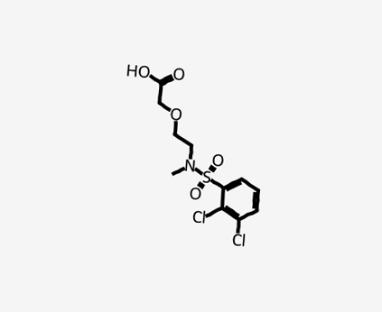 CN(CCOCC(=O)O)S(=O)(=O)c1cccc(Cl)c1Cl